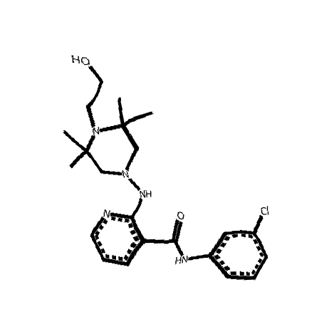 CC1(C)CN(Nc2ncccc2C(=O)Nc2cccc(Cl)c2)CC(C)(C)N1CCO